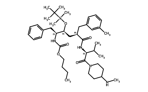 CCCCOC(=O)N[C@@H](Cc1ccccc1)[C@H](C[C@@H](Cc1cccc(C)c1)C(=O)N[C@H](C(=O)N1CCC(NC)CC1)C(C)C)O[Si](C)(C)C(C)(C)C